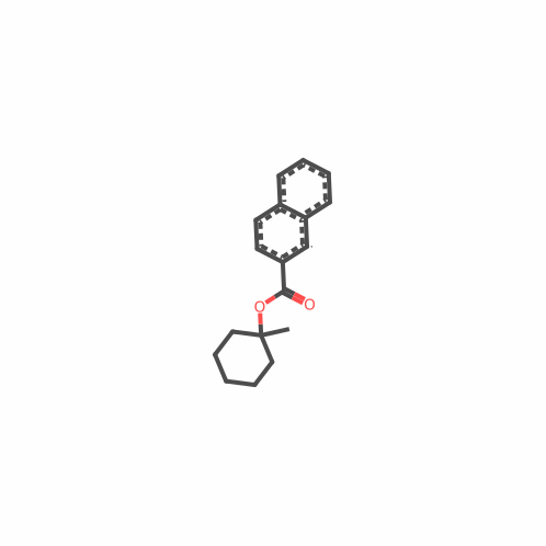 CC1(OC(=O)c2[c]c3ccccc3cc2)CCCCC1